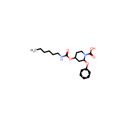 CCCCCCNC(=O)OC1CCN(C(=O)O)C(Oc2ccccc2)C1